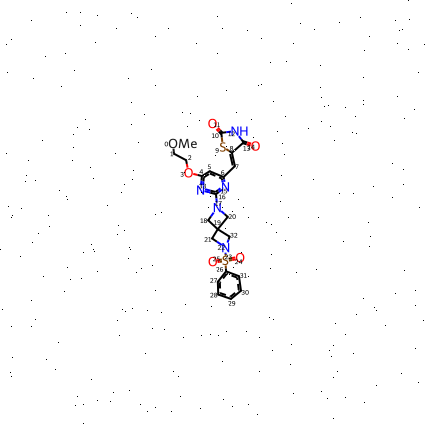 COCCOc1cc(/C=C2\SC(=O)NC2=O)nc(N2CC3(C2)CN(S(=O)(=O)c2ccccc2)C3)n1